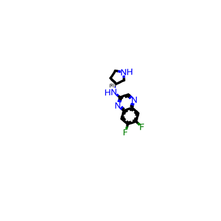 Fc1cc2ncc(N[C@@H]3CCNC3)nc2cc1F